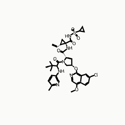 C=C[C@@H]1C[C@]1(NC(=O)[C@@H]1C[C@@H](Oc2ncc(OC)c3ccc(Cl)cc23)CN1C(=O)C(Nc1ccc(C)nc1)C(C)(C)C)C(=O)NS(=O)(=O)C1CC1